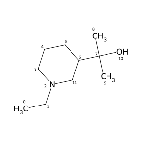 CCN1CCCC(C(C)(C)O)C1